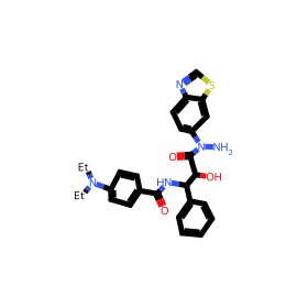 CCN(CC)c1ccc(C(=O)NC(c2ccccc2)C(O)C(=O)N(N)c2ccc3ncsc3c2)cc1